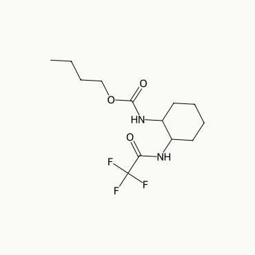 CCCCOC(=O)NC1CCCCC1NC(=O)C(F)(F)F